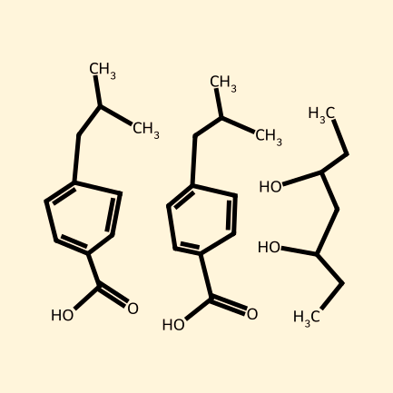 CC(C)Cc1ccc(C(=O)O)cc1.CC(C)Cc1ccc(C(=O)O)cc1.CCC(O)CC(O)CC